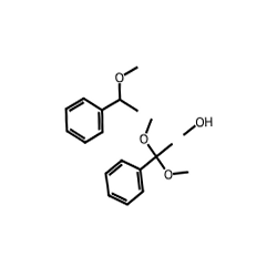 CO.COC(C)(OC)c1ccccc1.COC(C)c1ccccc1